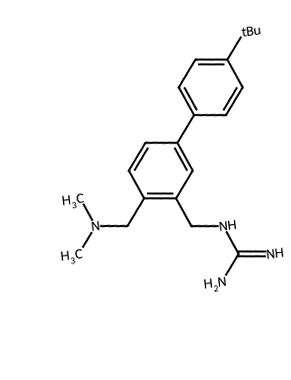 CN(C)Cc1ccc(-c2ccc(C(C)(C)C)cc2)cc1CNC(=N)N